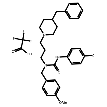 COc1ccc(CN(CCCN2CCC(Cc3ccccc3)CC2)C(=O)Nc2ccc(Cl)cc2)cc1.O=C(O)C(F)(F)F